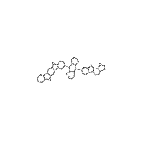 c1ccc2c(c1)oc1cc3c(cc12)oc1ccc(-c2c4ccccc4c(-c4ccc5c(c4)sc4c5ccc5ccoc54)c4ccccc24)cc13